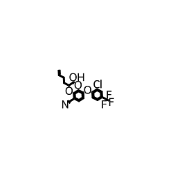 C=CCCC(Oc1cc(Oc2ccc(C(F)(F)F)cc2Cl)ccc1C#N)C(=O)O